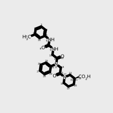 Cc1cccc(NC(=O)NCC(=O)N(CC(=O)N2CCC[C@H](C(=O)O)C2)c2ccccc2)c1